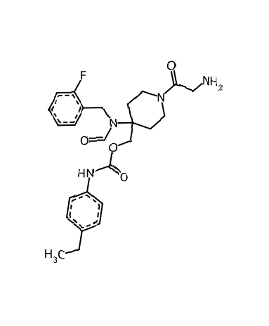 CCc1ccc(NC(=O)OCC2(N(C=O)Cc3ccccc3F)CCN(C(=O)CN)CC2)cc1